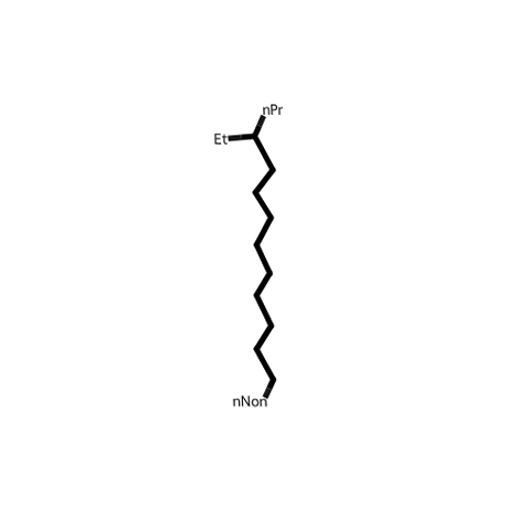 [CH2]CCC(CC)CCCCCCCCCCCCCCCCCC